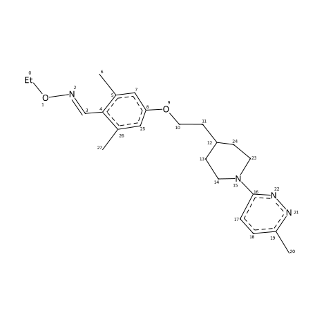 CCON=Cc1c(C)cc(OCCC2CCN(c3ccc(C)nn3)CC2)cc1C